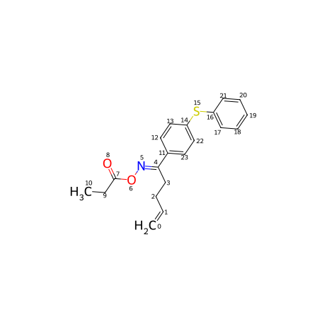 C=CCC/C(=N\OC(=O)CC)c1ccc(Sc2ccccc2)cc1